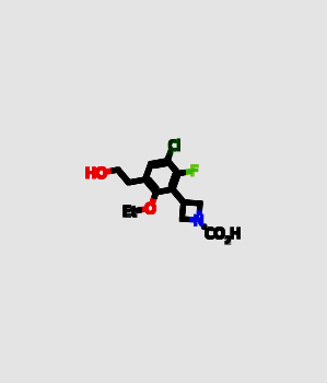 CCOc1c(CCO)cc(Cl)c(F)c1C1CN(C(=O)O)C1